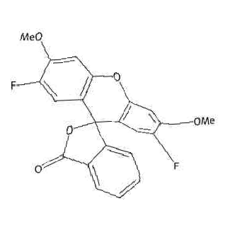 COc1cc2c(cc1F)C1(OC(=O)c3ccccc31)c1cc(F)c(OC)cc1O2